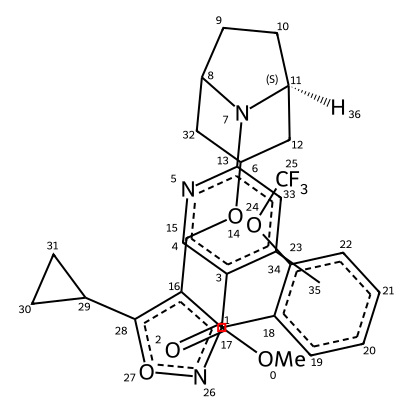 COC(=O)c1cnc(N2C3CC[C@H]2CC(OCc2c(-c4ccccc4OC(F)(F)F)noc2C2CC2)C3)cc1C